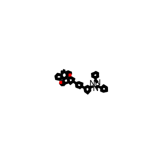 CC1(C)c2ccccc2C2(c3ccccc3-c3cc(-c4ccc(-c5cccc(-c6nc(-c7ccccc7)nc(-c7ccccc7)n6)c5)cc4)ccc32)c2ccccc21